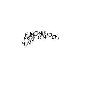 Cc1cc(OCC(F)(F)F)cnc1C(=O)Nc1ccc(F)c([C@@]2(C)N=C(N)S[C@@]3(C(F)F)C[C@@H]23)c1